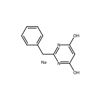 Oc1cc(O)nc(Cc2ccccc2)n1.[Na]